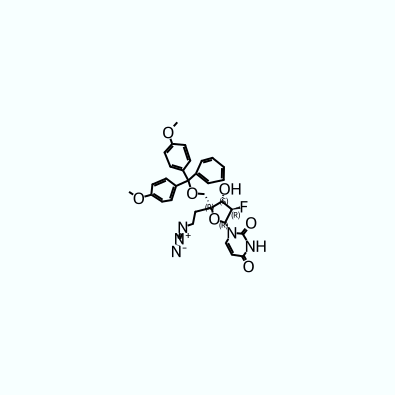 COc1ccc(C(OC[C@@]2(CCN=[N+]=[N-])O[C@@H](n3ccc(=O)[nH]c3=O)[C@H](F)[C@H]2O)(c2ccccc2)c2ccc(OC)cc2)cc1